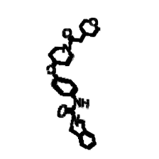 O=C(CC1CCOCC1)N1CCC(Oc2ccc(NC(=O)N3Cc4ccccc4C3)cc2)CC1